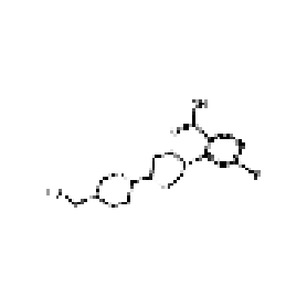 CC[C@H]1CC[C@H]([C@H]2CC[C@H](c3cc(F)ccc3C(=O)O)CC2)CC1